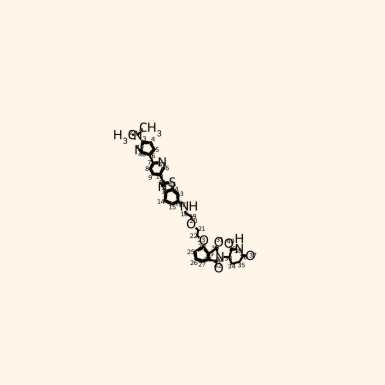 CN(C)c1ccc(-c2ccc(-c3nc4ccc(NCCOCCOc5cccc6c5C(=O)N(C5CCC(=O)NC5=O)C6=O)cc4s3)cn2)cn1